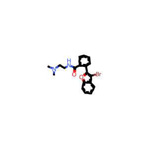 CN(C)CCNC(=O)c1ccccc1-c1oc2ccccc2c1Br